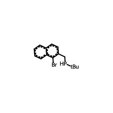 CC(C)(C)PCc1ccc2ccccc2c1Br